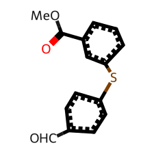 COC(=O)c1cccc(Sc2ccc(C=O)cc2)c1